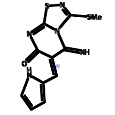 CSC1=NSC2=NC(=O)/C(=C\c3ccc[nH]3)C(=N)N12